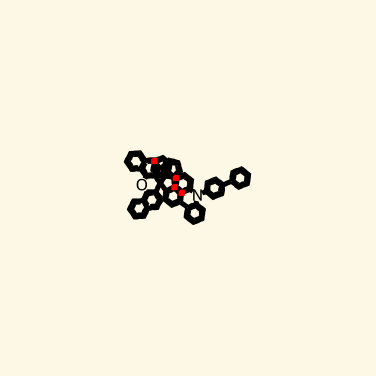 c1ccc(-c2ccc(N(c3ccc(-c4ccccc4)cc3)c3ccccc3-c3ccc4c(c3)-c3ccccc3C43c4ccc5ccccc5c4Oc4c3ccc3ccccc43)cc2)cc1